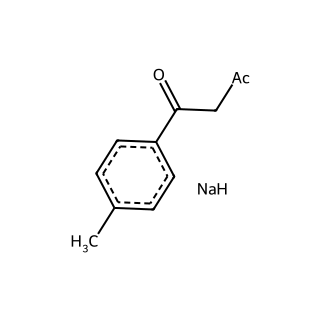 CC(=O)CC(=O)c1ccc(C)cc1.[NaH]